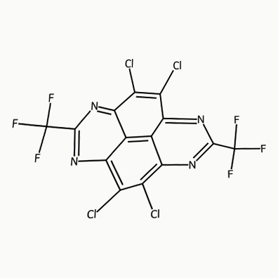 FC(F)(F)c1nc2c(Cl)c(Cl)c3nc(C(F)(F)F)nc4c(Cl)c(Cl)c(n1)c2c34